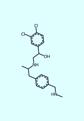 CNCc1ccc(CC(C)NCC(O)c2ccc(Cl)c(Cl)c2)cc1